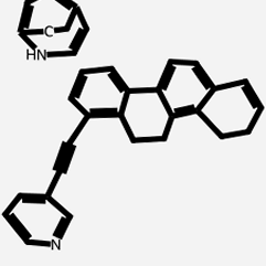 C(#Cc1cccc2c1CCc1c-2ccc2c1CCC=C2)c1cccnc1.C1=CC2=CC=C(CC2)N1